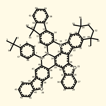 CC(C)(C)c1ccc(N2B3c4cc5c(cc4-n4c6cc7c(cc6c6c8oc9ccccc9c8c(c3c64)-c3cc4oc6ccccc6c4cc32)C(C)(C)CCC7(C)C)-c2ccccc2C5(C)C)cc1